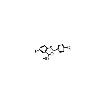 COc1ccc(CSc2ccc(F)cc2C(=O)O)cc1